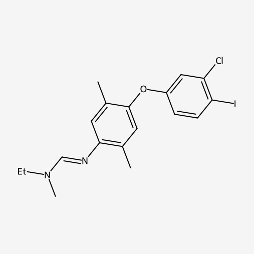 CCN(C)C=Nc1cc(C)c(Oc2ccc(I)c(Cl)c2)cc1C